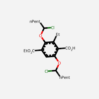 CCCCCC(Cl)Oc1cc(C(=O)OCC)c(OC(Cl)CCCCC)c(CC)c1C(=O)O